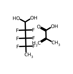 C=C(C)C(=O)O.CC(F)(F)C(F)(F)C(F)(F)C(O)O